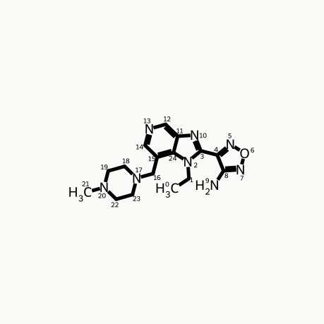 CCn1c(-c2nonc2N)nc2cncc(CN3CCN(C)CC3)c21